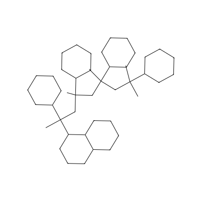 CC(C)(CC(C)(CC(C)(CC(C)(C1CCCCC1)C1CCCC2CCCCC21)C1CCCCC1)C1CCCCC1)C1CCCCC1